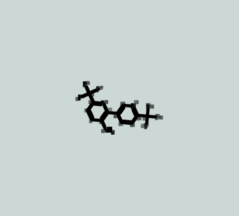 Nc1ccc(C(F)(F)F)nc1-c1ccc(C(F)(F)F)nc1